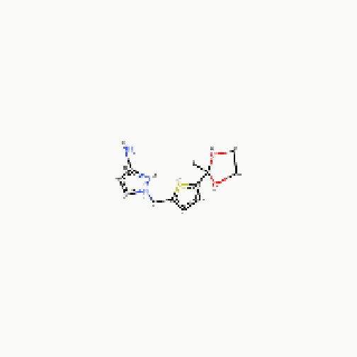 CC1(c2ccc(Cn3ccc(N)n3)s2)OCCO1